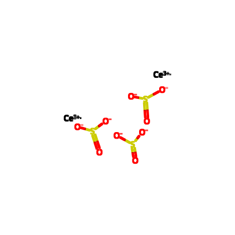 O=S([O-])[O-].O=S([O-])[O-].O=S([O-])[O-].[Ce+3].[Ce+3]